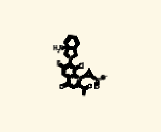 CC(=O)c1cc(=O)c2cc(F)c(N3CC4C=CC=CC4(N)C3)c(Cl)c2n1C1CC1[N+](=O)[O-]